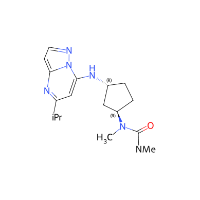 CNC(=O)N(C)[C@@H]1CC[C@@H](Nc2cc(C(C)C)nc3ccnn23)C1